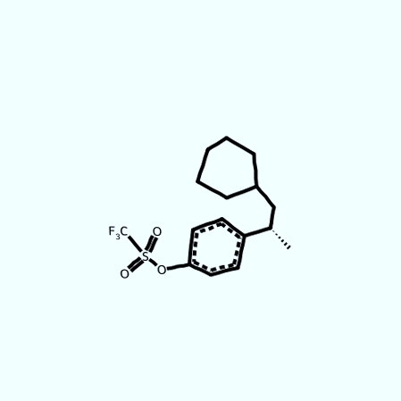 C[C@@H](CC1CCCCC1)c1ccc(OS(=O)(=O)C(F)(F)F)cc1